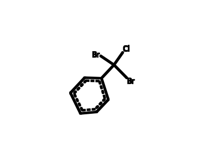 ClC(Br)(Br)c1ccccc1